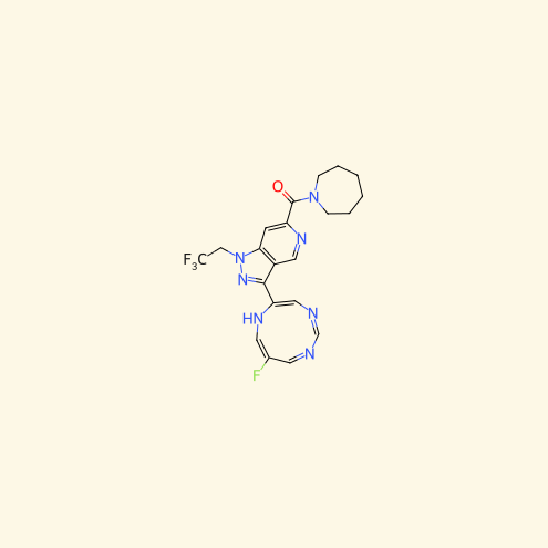 O=C(c1cc2c(cn1)c(-c1cncncc(F)c[nH]1)nn2CC(F)(F)F)N1CCCCCC1